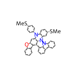 CSc1ccc(-n2c3cc4oc5ccccc5c4c4c3-n(c3cc(SC)ccc32)n2c3ccccc3c3cccc4c32)cc1